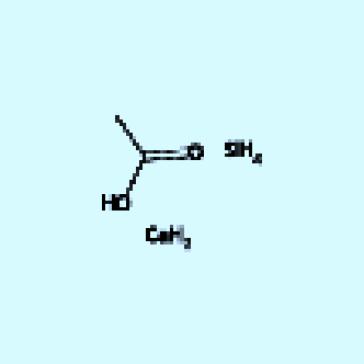 CC(=O)O.[CaH2].[SiH4]